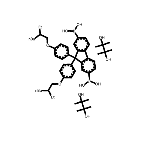 CC(C)(O)C(C)(C)O.CC(C)(O)C(C)(C)O.CCCCC(CC)COc1ccc(C2(c3ccc(OCC(CC)CCCC)cc3)c3cc(B(O)O)ccc3-c3ccc(B(O)O)cc32)cc1